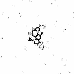 N[C@H]1C[C@H]2CNCc3c(c(F)cc4c(=O)c(C(=O)O)cn(C5CC5)c34)N2C1